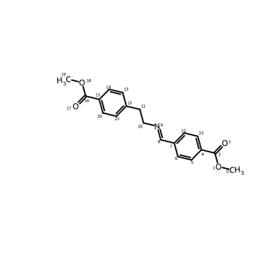 COC(=O)c1ccc(C=NCCc2ccc(C(=O)OC)cc2)cc1